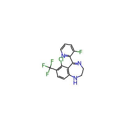 Fc1cccnc1C1=NCCNc2ccc(C(F)(F)F)c(Cl)c21